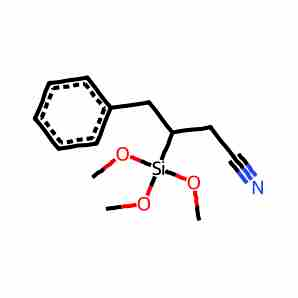 CO[Si](OC)(OC)C(CC#N)Cc1ccccc1